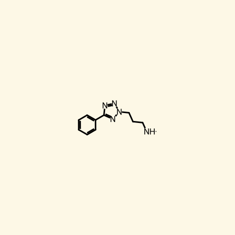 [NH]CCCn1nnc(-c2ccccc2)n1